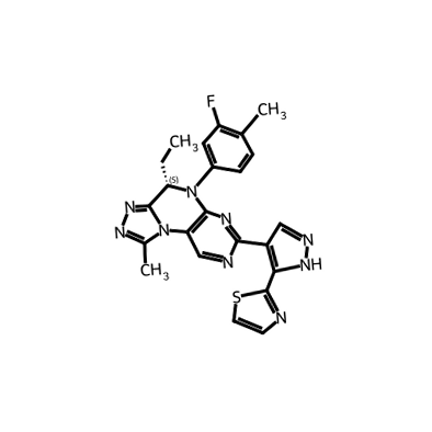 CC[C@H]1c2nnc(C)n2-c2cnc(-c3cn[nH]c3-c3nccs3)nc2N1c1ccc(C)c(F)c1